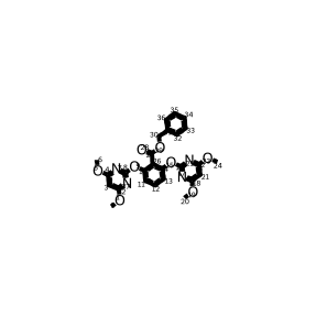 COc1cc(OC)nc(Oc2cccc(Oc3nc(OC)cc(OC)n3)c2C(=O)OCc2ccccc2)n1